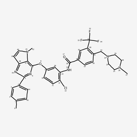 Cc1ccc(-c2nc(Oc3ccc(Cl)c(NC(=O)c4ccc(CN5CCN(C)CC5)c(C(F)(F)F)c4)c3)c3c(ccn3C)n2)cc1